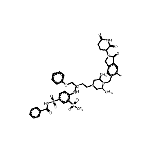 CC1CN(CC[C@H](CSc2ccccc2)Nc2ccc(S(=O)(=O)NC(=O)c3ccccc3)cc2S(=O)(=O)C(F)(F)F)CC(C)N1Cc1cc2c(cc1F)C(=O)N(C1CCC(=O)NC1=O)C2